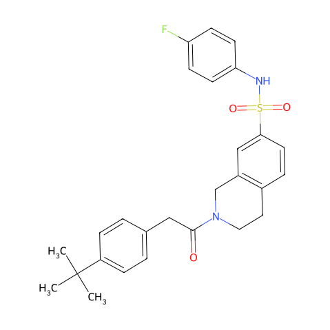 CC(C)(C)c1ccc(CC(=O)N2CCc3ccc(S(=O)(=O)Nc4ccc(F)cc4)cc3C2)cc1